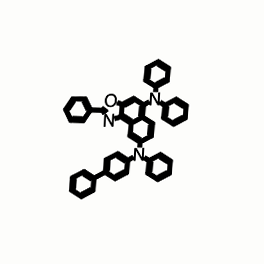 c1ccc(-c2ccc(N(c3ccccc3)c3ccc4c(N(c5ccccc5)c5ccccc5)cc5oc(-c6ccccc6)nc5c4c3)cc2)cc1